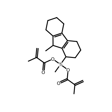 C=C(C)C(=O)[O][Ti]([CH3])([O]C(=O)C(=C)C)[CH]1CCCC2=C1C(C)C1=C2CCCC1